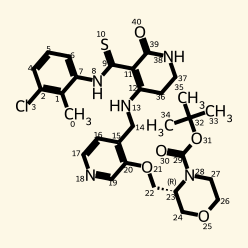 Cc1c(Cl)cccc1NC(=S)C1=C(NCc2ccncc2OC[C@H]2COCCN2C(=O)OC(C)(C)C)CCNC1=O